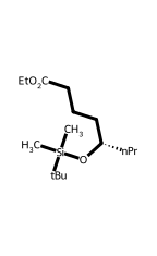 CCC[C@@H](CCCC(=O)OCC)O[Si](C)(C)C(C)(C)C